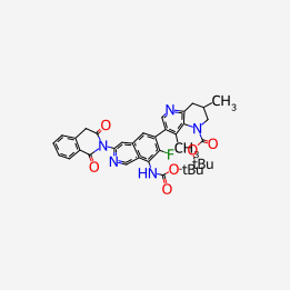 Cc1c(-c2cc3cc(N4C(=O)Cc5ccccc5C4=O)ncc3c(NC(=O)OC(C)(C)C)c2F)cnc2c1N(C(=O)OC(C)(C)C)CC(C)C2